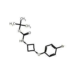 CC(C)(C)OC(=O)N[C@H]1C[C@@H](Oc2ccc(Br)cc2)C1